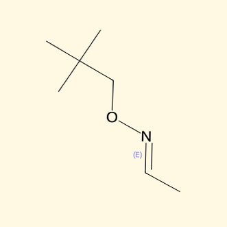 C/C=N/OCC(C)(C)C